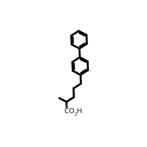 CC(CCCc1ccc(-c2ccccc2)cc1)C(=O)O